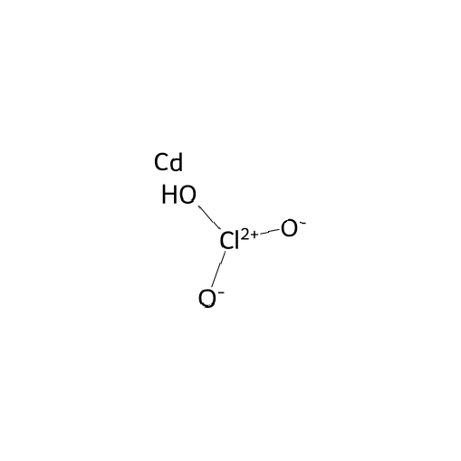 [Cd].[O-][Cl+2]([O-])O